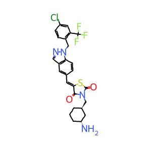 N[C@@H]1CCC[C@@H](CN2C(=O)S/C(=C\c3ccc4c(cnn4Cc4ccc(Cl)cc4C(F)(F)F)c3)C2=O)C1